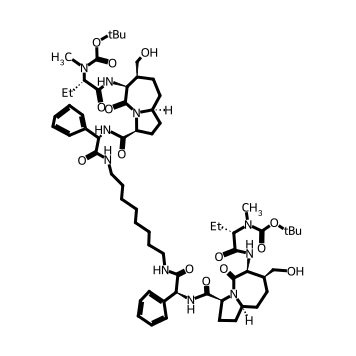 CC[C@@H](C(=O)N[C@@H]1C(=O)N2[C@@H](CC[C@@H]1CO)CC[C@H]2C(=O)N[C@H](C(=O)NCCCCCCCCNC(=O)[C@@H](NC(=O)[C@@H]1CC[C@@H]2CC[C@H](CO)[C@H](NC(=O)[C@H](CC)N(C)C(=O)OC(C)(C)C)C(=O)N21)c1ccccc1)c1ccccc1)N(C)C(=O)OC(C)(C)C